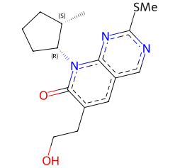 CSc1ncc2cc(CCO)c(=O)n([C@@H]3CCC[C@@H]3C)c2n1